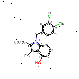 CCOC(=O)c1c(CC)c2c(O)cccc2n1Cc1ccc(Cl)c(Cl)c1